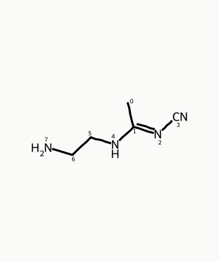 C/C(=N\C#N)NCCN